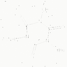 CC(=O)Nn1c(=S)n(C)c(=O)n(C(C)(C)C)c1=O